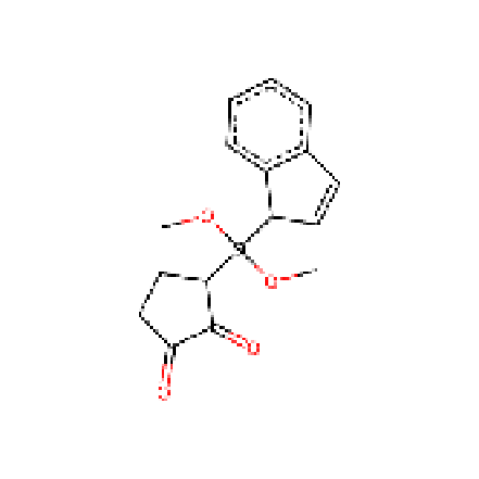 CO[Si](OC)(C1CCC(=O)C1=O)C1C=Cc2ccccc21